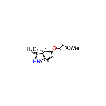 COCCOc1ccc2[nH]cc(C)c2c1